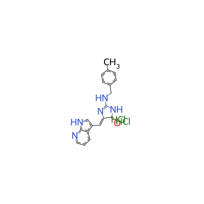 Cc1ccc(CNC2=N/C(=C\c3c[nH]c4ncccc34)C(=O)N2)cc1.Cl.Cl